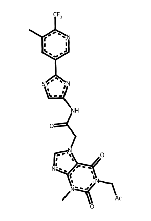 CC(=O)Cn1c(=O)c2c(ncn2CC(=O)Nc2csc(-c3cnc(C(F)(F)F)c(C)c3)n2)n(C)c1=O